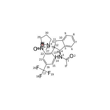 CC(=O)N[C@@H]1c2ccccc2C[C@@]1(c1ccc(C(F)(F)F)cc1[N+](=O)[O-])[N+]1(C)CCCC1